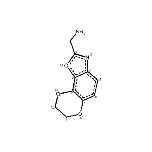 NCc1nc2ccc3c(c2o1)OCCO3